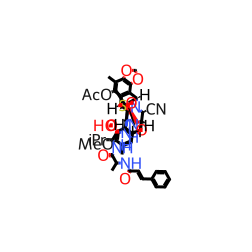 COc1c(C)cc2c(c1O)[C@H]1N[C@@H](C2)[C@H](C#N)N2C1[C@@H]1SC[C@H](NC(=O)C(NC(=O)C(C)NC(=O)/C=C/c3ccccc3)C(C)C)C(=O)OC[C@H]2c2c3c(c(C)c(OC(C)=O)c21)OCO3